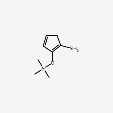 C[Si](C)(C)OC1=C([SiH3])CC=C1